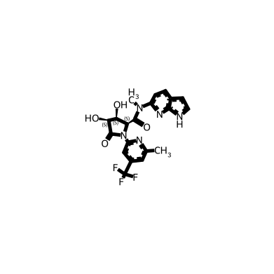 Cc1cc(C(F)(F)F)cc(N2C(=O)[C@@H](O)[C@@H](O)[C@H]2C(=O)N(C)c2ccc3cc[nH]c3n2)n1